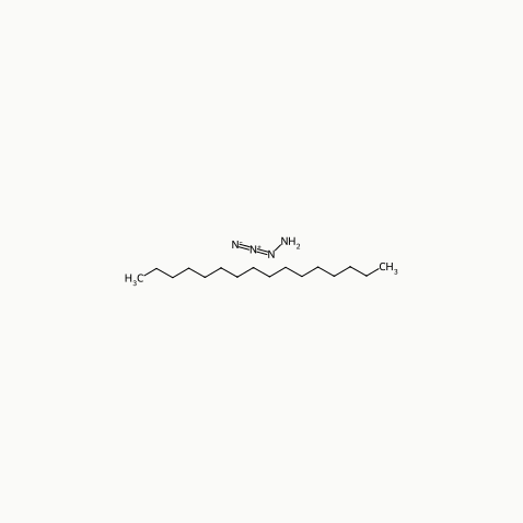 CCCCCCCCCCCCCCCC.[N-]=[N+]=NN